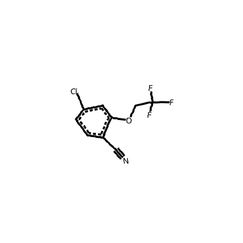 N#Cc1ccc(Cl)cc1OCC(F)(F)F